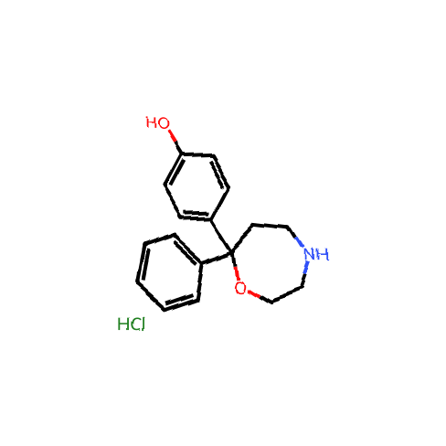 Cl.Oc1ccc(C2(c3ccccc3)CCNCCO2)cc1